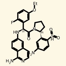 CCOc1ccc(F)c([C@H](Nc2ccc3c(N)nccc3c2)C(=O)N2CCC[C@@H]2c2cc(N)ccc2[SH](=O)=O)c1